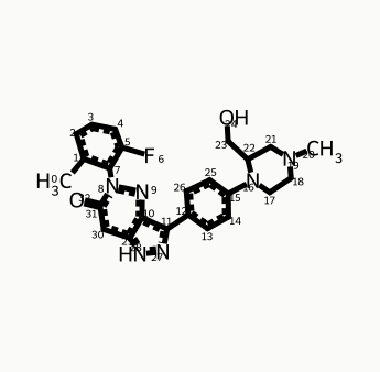 Cc1cccc(F)c1-n1nc2c(-c3ccc(N4CCN(C)CC4CO)cc3)n[nH]c2cc1=O